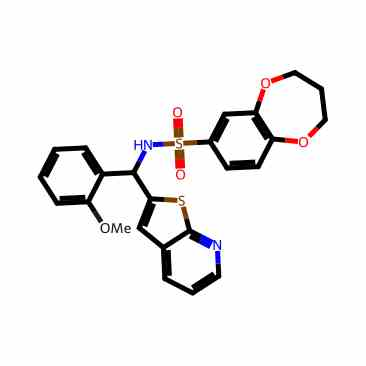 COc1ccccc1C(NS(=O)(=O)c1ccc2c(c1)OCCCO2)c1cc2cccnc2s1